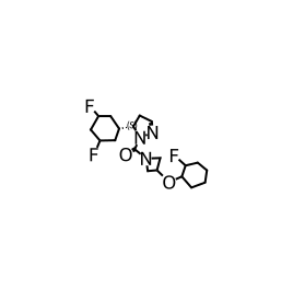 O=C(N1CC(OC2CCCCC2F)C1)N1N=CC[C@H]1C1CC(F)CC(F)C1